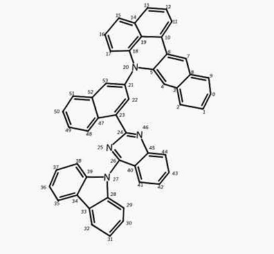 c1ccc2cc3c(cc2c1)-c1cccc2cccc(c12)N3c1cc(-c2nc(-n3c4ccccc4c4ccccc43)c3ccccc3n2)c2ccccc2c1